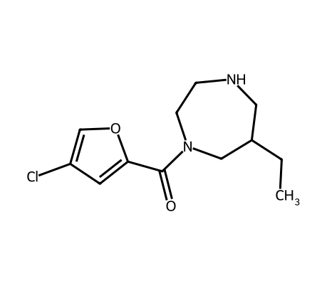 CCC1CNCCN(C(=O)c2cc(Cl)co2)C1